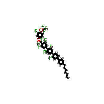 CCCCCCCc1ccc(-c2ccc(-c3cc(F)c(-c4cc(F)c(C(F)(F)Oc5ccc(OC(F)(F)F)c(F)c5)c(F)c4)c(F)c3)c(F)c2)cc1